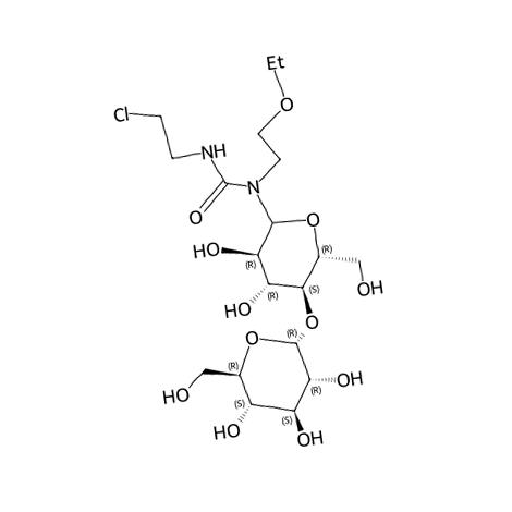 CCOCCN(C(=O)NCCCl)C1O[C@H](CO)[C@@H](O[C@H]2O[C@H](CO)[C@@H](O)[C@H](O)[C@H]2O)[C@H](O)[C@H]1O